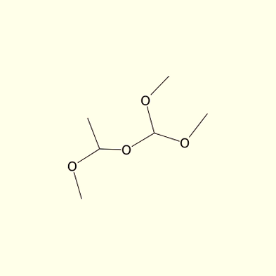 COC(C)OC(OC)OC